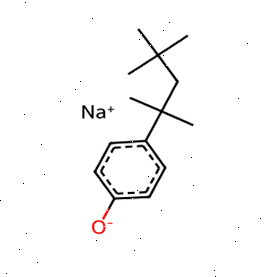 CC(C)(C)CC(C)(C)c1ccc([O-])cc1.[Na+]